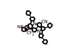 N#Cc1ccc(-c2cc(-c3ccc(C#N)cc3C(F)(F)F)ccc2-n2c3ccc(-c4ccccc4)cc3c3cc(-c4ccccc4)ccc32)c(-n2c3ccc(-c4ccccc4)cc3c3cc(-c4ccccc4)ccc32)c1